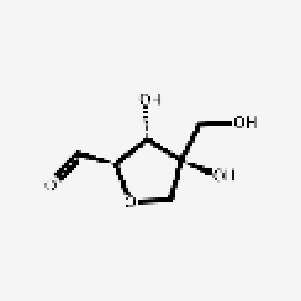 O=C[C@@H]1OC[C@@](O)(CO)[C@H]1O